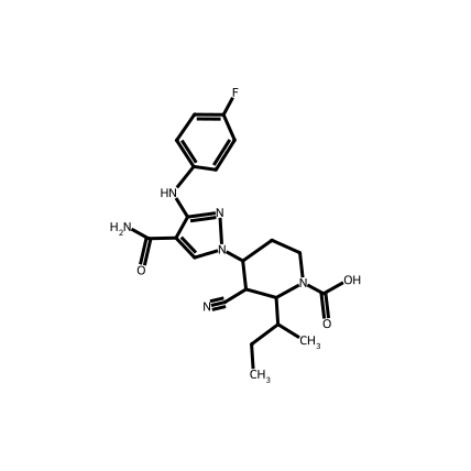 CCC(C)C1C(C#N)C(n2cc(C(N)=O)c(Nc3ccc(F)cc3)n2)CCN1C(=O)O